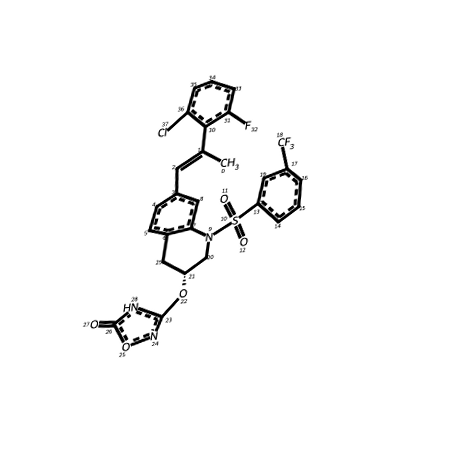 CC(=Cc1ccc2c(c1)N(S(=O)(=O)c1cccc(C(F)(F)F)c1)C[C@H](Oc1noc(=O)[nH]1)C2)c1c(F)cccc1Cl